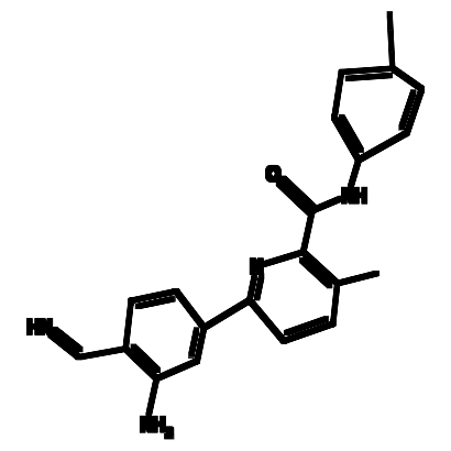 Cc1ccc(NC(=O)c2nc(-c3ccc(C=N)c(N)c3)ccc2C)cc1